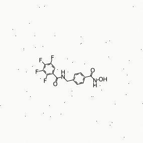 O=C(NO)c1ccc(CNC(=O)c2cc(F)c(F)c(F)c2F)cc1